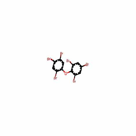 Brc1cc(Br)c(Oc2cc(Br)c(Br)cc2Br)c(Br)c1